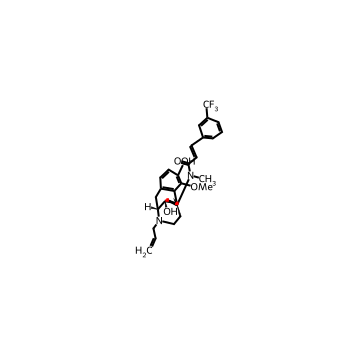 C=CCN1CC[C@]23CC(N(C)C(=O)/C=C/c4cccc(C(F)(F)F)c4)CC[C@@]2(O)[C@H]1Cc1ccc(O)c(OC)c13